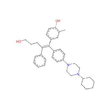 Cc1cc(/C(=C(\CCCO)c2ccccc2)c2ccc(N3CCN(C4CCCCC4)CC3)cc2)ccc1O